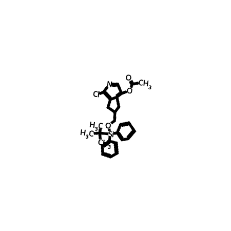 CC(=O)Oc1cnc(Cl)c2c1CC(CO[Si](c1ccccc1)(c1ccccc1)C(C)(C)C)C2